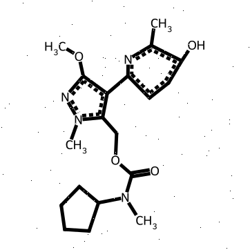 COc1nn(C)c(COC(=O)N(C)C2CCCC2)c1-c1ccc(O)c(C)n1